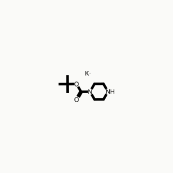 CC(C)(C)OC(=O)N1CCNCC1.[K]